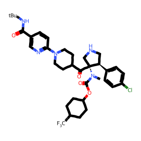 CN(C(=O)OC1CCC(C(F)(F)F)CC1)[C@]1(C(=O)C2CCN(c3ccc(C(=O)NC(C)(C)C)cn3)CC2)CNC[C@H]1c1ccc(Cl)cc1